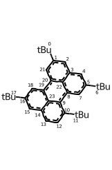 CC(C)(C)c1cc2cc(C(C)(C)C)cc3c4c(C(C)(C)C)ccc5cc(C(C)(C)C)cc(c(c1)c23)c54